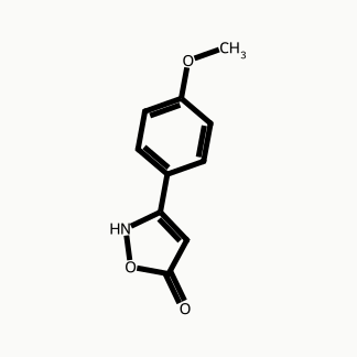 COc1ccc(-c2cc(=O)o[nH]2)cc1